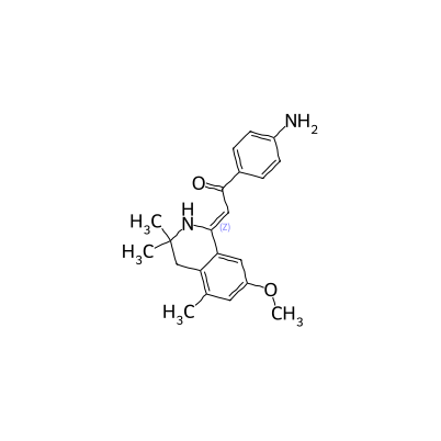 COc1cc(C)c2c(c1)/C(=C/C(=O)c1ccc(N)cc1)NC(C)(C)C2